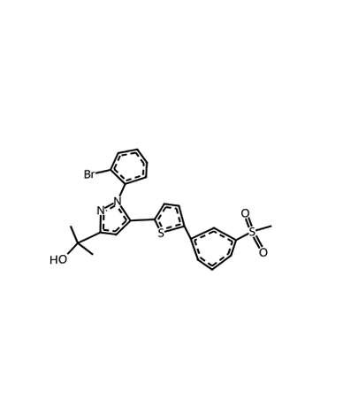 CC(C)(O)c1cc(-c2ccc(-c3cccc(S(C)(=O)=O)c3)s2)n(-c2ccccc2Br)n1